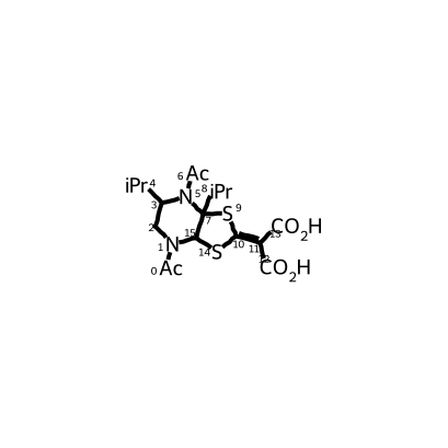 CC(=O)N1CC(C(C)C)N(C(C)=O)C2(C(C)C)SC(=C(C(=O)O)C(=O)O)SC12